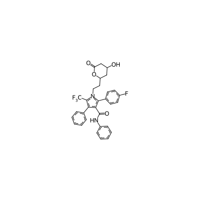 O=C1CC(O)CC(CCn2c(-c3ccc(F)cc3)c(C(=O)Nc3ccccc3)c(-c3ccccc3)c2C(F)(F)F)O1